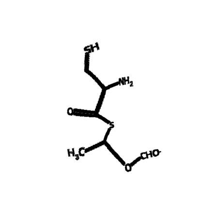 CC(O[C]=O)SC(=O)C(N)CS